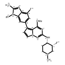 COc1nc(N[C@H]2CCN(C)C[C@H]2F)nn2ccc(-c3cc(F)c4nc(C)n(C(C)C)c4c3)c12